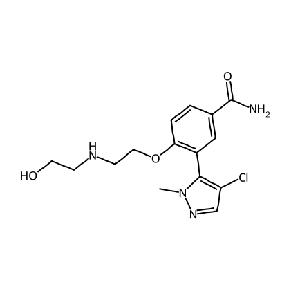 Cn1ncc(Cl)c1-c1cc(C(N)=O)ccc1OCCNCCO